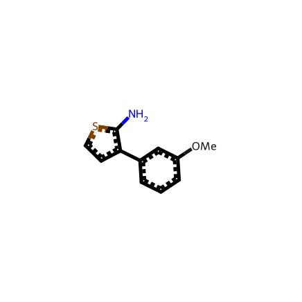 COc1cccc(-c2ccsc2N)c1